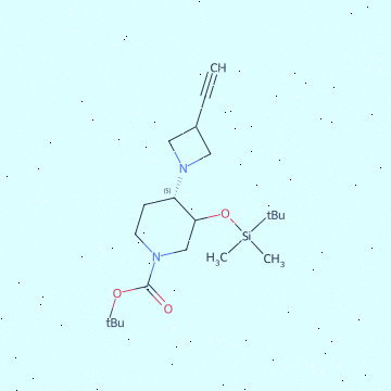 C#CC1CN([C@H]2CCN(C(=O)OC(C)(C)C)CC2O[Si](C)(C)C(C)(C)C)C1